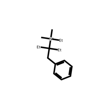 CCC(CC)(Cc1ccccc1)[N+](C)(C)CC